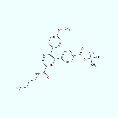 CCCCNC(=O)c1cnc(-c2ccc(OC)cc2)c(-c2ccc(C(=O)OC(C)(C)C)cc2)c1